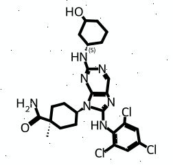 C[C@]1(C(N)=O)CC[C@@H](n2c(Nc3c(Cl)cc(Cl)cc3Cl)nc3cnc(N[C@H]4CCCC(O)C4)nc32)CC1